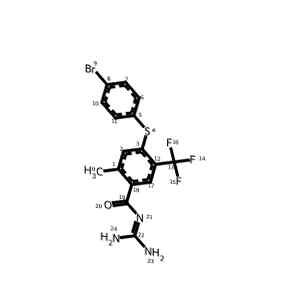 Cc1cc(Sc2ccc(Br)cc2)c(C(F)(F)F)cc1C(=O)N=C(N)N